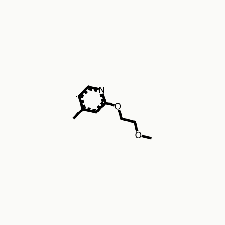 COCCOc1cc(C)[c]cn1